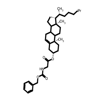 CC(C)CCC[C@@H](C)[C@H]1CCC2C3CC=C4C[C@@H](OC(=O)CNC(=O)OCc5ccccc5)CC[C@]4(C)C3CC[C@@]21C